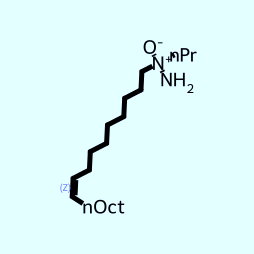 CCCCCCCC/C=C\CCCCCCCC[N+](N)([O-])CCC